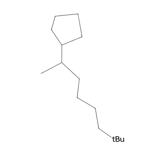 [CH2]C(C)(C)CCCCC(C)C1CCCC1